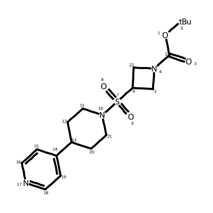 CC(C)(C)OC(=O)N1CC(S(=O)(=O)N2CCC(c3ccncc3)CC2)C1